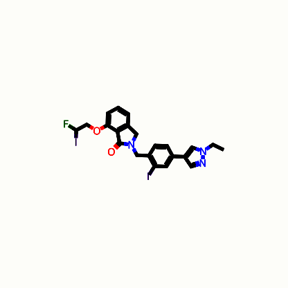 CCn1cc(-c2ccc(CN3Cc4cccc(OCC(F)I)c4C3=O)c(I)c2)cn1